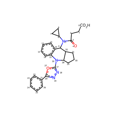 O=C(O)CCC(=O)N(C1CC1)C1c2ccccc2N(c2nnc(-c3ccccc3)o2)C2CCCC21